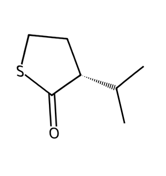 CC(C)[C@H]1CCSC1=O